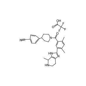 Cc1cc(C)c(-c2nc3c([nH]2)C(C)NCC3)cc1C(=O)N1CCC(c2ccc(C#N)cc2)CC1.O=C(O)C(F)(F)F